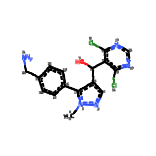 Cn1ncc(C(O)c2c(Cl)ncnc2Cl)c1-c1ccc(CN)cc1